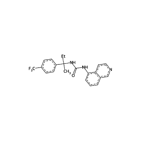 CCC(C)(NC(=O)Nc1cccc2cnccc12)c1ccc(C(F)(F)F)cc1